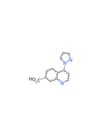 O=C(O)c1ccc2c(-n3cccn3)ccnc2c1